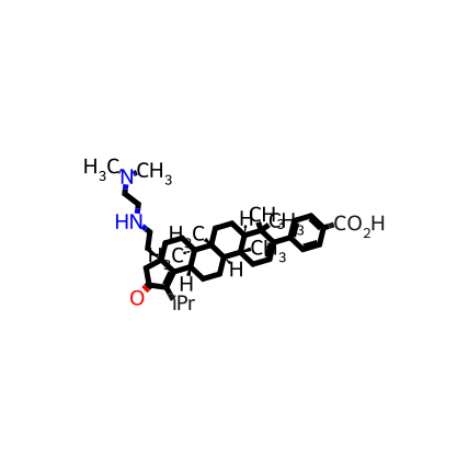 CC(C)C1=C2[C@H]3CC[C@@H]4[C@@]5(C)CC=C(c6ccc(C(=O)O)cc6)C(C)(C)[C@@H]5CC[C@@]4(C)[C@]3(C)CC[C@@]2(CCNCCN(C)C)CC1=O